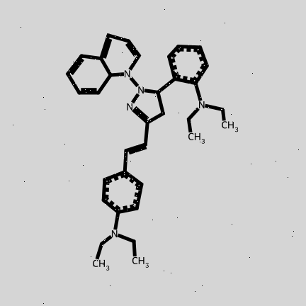 CCN(CC)c1ccc(C=CC2=NN(N3C=CC=C4C=CC=CC43)C(c3ccccc3N(CC)CC)C2)cc1